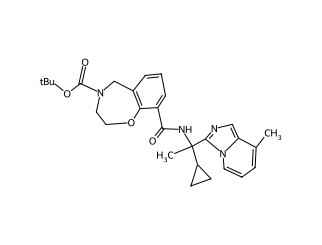 Cc1cccn2c(C(C)(NC(=O)c3cccc4c3OCCN(C(=O)OC(C)(C)C)C4)C3CC3)ncc12